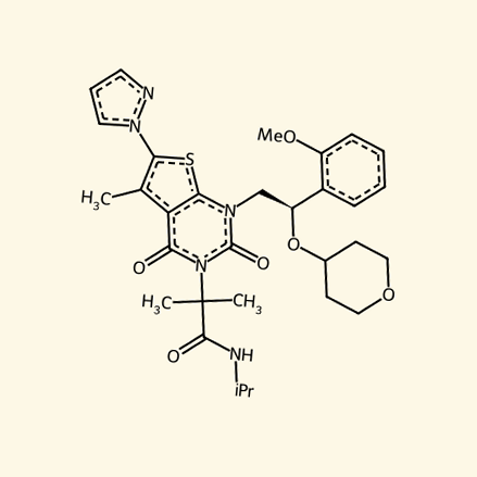 COc1ccccc1[C@H](Cn1c(=O)n(C(C)(C)C(=O)NC(C)C)c(=O)c2c(C)c(-n3cccn3)sc21)OC1CCOCC1